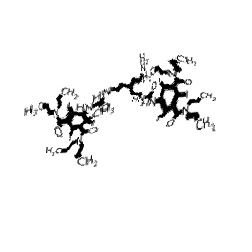 C=CCN(CC=C)C(=O)C1=C(I)C(NC(=O)NCCC(CCN)CCNC(=O)Nc2c(I)c(C(=O)N(CC=C)CC=C)c(I)c(C(=O)N(CC=C)CC=C)c2I)C(C)(I)C(C(=O)N(CC=C)CC=C)=C1I